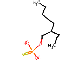 CCCCC(CC)COP(O)(O)=S